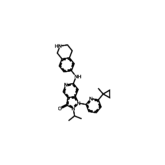 CC(C)n1c(=O)c2cnc(Nc3ccc4c(c3)CCNC4)cc2n1-c1cccc(C2(C)CC2)n1